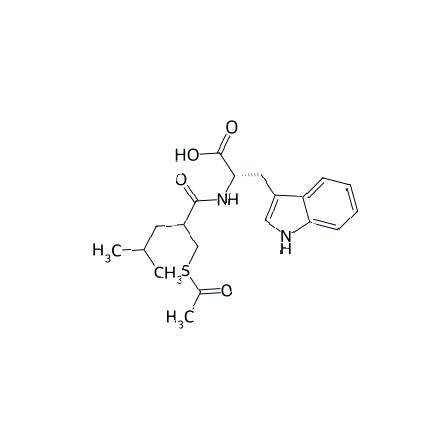 CC(=O)SCC(CC(C)C)C(=O)N[C@@H](Cc1c[nH]c2ccccc12)C(=O)O